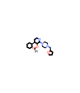 CC(C)C(=O)Oc1c(-c2ccccc2)ccnc1N1CCN(Cc2ccco2)CC1